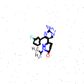 CC(C)n1nc(-c2cnc(N)nc2-c2cccc(F)c2)ccc1=O